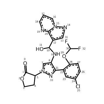 O=C1OCCC1n1cc(NC(O)c2cnn3cccnc23)c(-c2cc(Cl)ccc2OC(F)F)n1